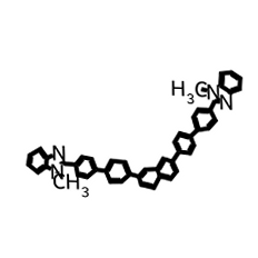 Cn1c(-c2ccc(-c3ccc(-c4ccc5ccc(-c6ccc(-c7ccc(-c8nc9ccccc9n8C)cc7)cc6)cc5c4)cc3)cc2)nc2ccccc21